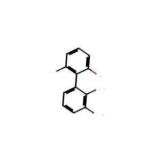 CCCCCCc1cccc(-c2c(O)cccc2C(C)CC)c1CCCCCC